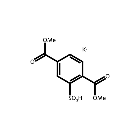 COC(=O)c1ccc(C(=O)OC)c(S(=O)(=O)O)c1.[K]